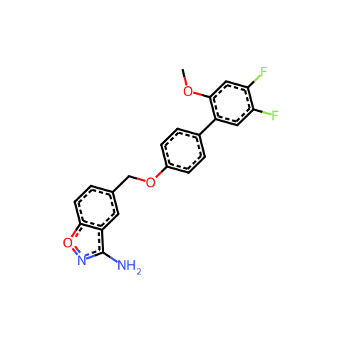 COc1cc(F)c(F)cc1-c1ccc(OCc2ccc3onc(N)c3c2)cc1